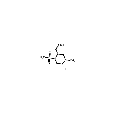 C[C@@H]1CN(S(C)(=O)=O)[C@@H](CC(=O)O)CN1C